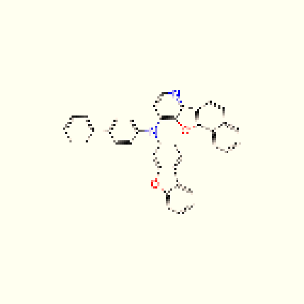 c1ccc(-c2ccc(N(c3ccc4c(c3)oc3ccccc34)c3ccnc4c3oc3c5ccccc5ccc43)cc2)cc1